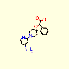 Nc1ccnc(N2CCC3(CC2)OC(C(=O)O)c2ccccc23)c1